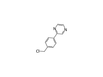 ClCc1ccc(-c2cnccn2)cc1